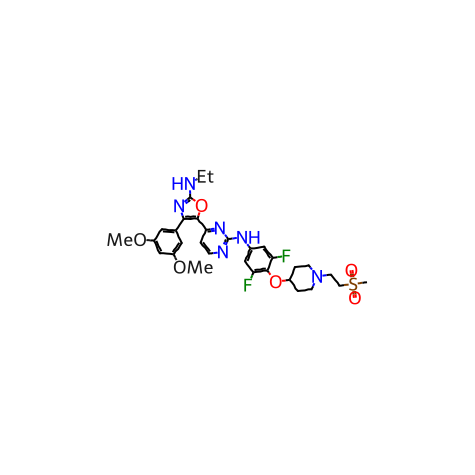 CCNc1nc(-c2cc(OC)cc(OC)c2)c(-c2ccnc(Nc3cc(F)c(OC4CCN(CCS(C)(=O)=O)CC4)c(F)c3)n2)o1